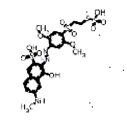 CNc1ccc2cc(S(=O)(=O)O)c(/N=N/c3cc(OC)c(S(=O)(=O)CCSS(=O)(=O)O)cc3OC)c(O)c2c1